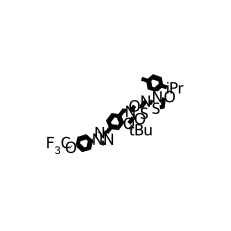 Cc1ccc(C(C)C)c(N2C(=O)CS/C2=N\C(=S)ON(Cc2ccc(-c3ncn(-c4ccc(OC(F)(F)F)cc4)n3)cc2)C(=O)OC(C)(C)C)c1